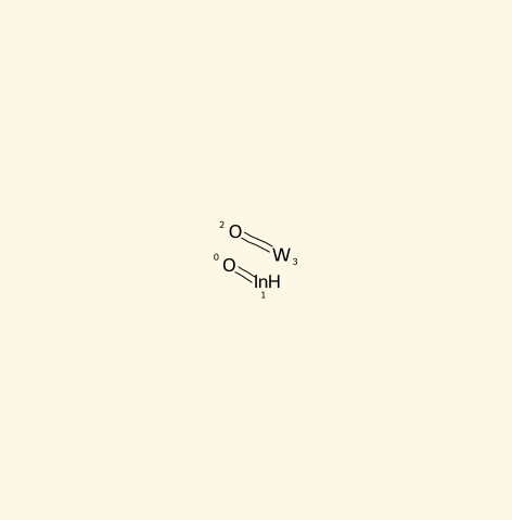 [O]=[InH].[O]=[W]